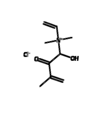 C=C[N+](C)(C)C(O)C(=O)C(=C)C.[Cl-]